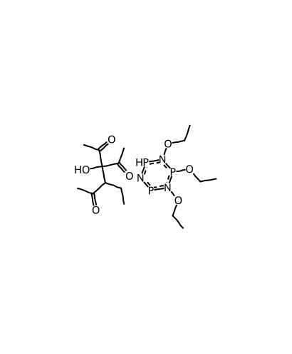 CCC(C(C)=O)C(O)(C(C)=O)C(C)=O.CCOn1pn[pH]n(OCC)p1OCC